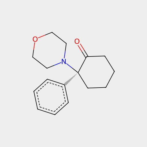 O=C1CCCC[C@@]1(c1ccccc1)N1CCOCC1